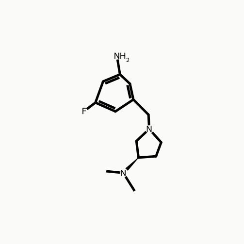 CN(C)[C@@H]1CCN(Cc2cc(N)cc(F)c2)C1